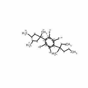 CCCC(C)(CC)c1c(F)c(F)c(C(C)(CCC)CCC)c(F)c1F